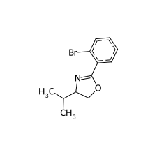 CC(C)C1COC(c2ccccc2Br)=N1